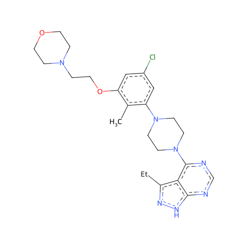 CCc1n[nH]c2ncnc(N3CCN(c4cc(Cl)cc(OCCN5CCOCC5)c4C)CC3)c12